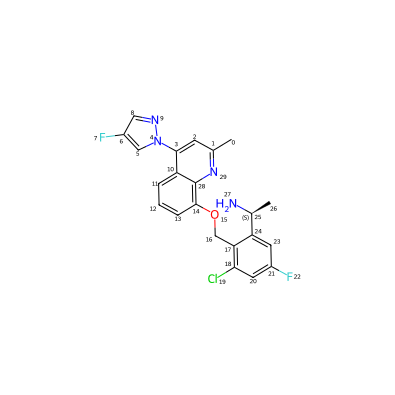 Cc1cc(-n2cc(F)cn2)c2cccc(OCc3c(Cl)cc(F)cc3[C@H](C)N)c2n1